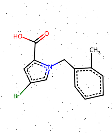 Cc1ccccc1Cn1cc(Br)cc1C(=O)O